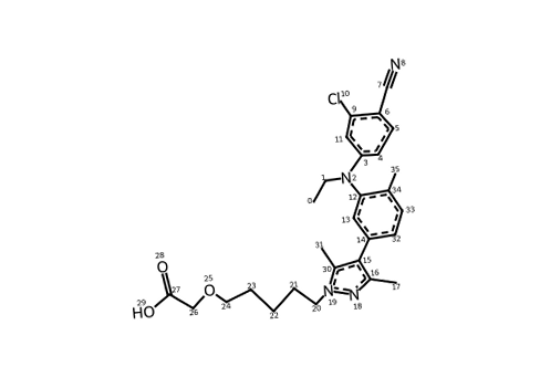 CCN(c1ccc(C#N)c(Cl)c1)c1cc(-c2c(C)nn(CCCCCOCC(=O)O)c2C)ccc1C